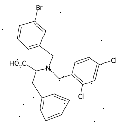 O=C(O)C(Cc1ccccc1)N(Cc1cccc(Br)c1)Cc1ccc(Cl)cc1Cl